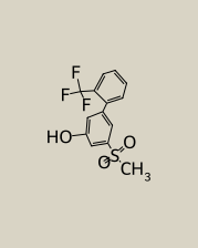 CS(=O)(=O)c1cc(O)cc(-c2ccccc2C(F)(F)F)c1